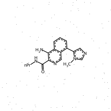 CCCNC(=O)c1ncc2c(-c3cncn3C)cccc2c1N